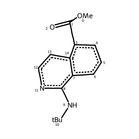 COC(=O)c1cccc2c(NC(C)(C)C)nccc12